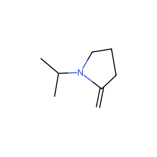 C=C1CCCN1C(C)C